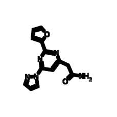 NC(=O)Cc1cc(-n2cccn2)nc(-c2ccco2)n1